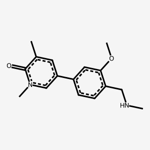 CNCc1ccc(-c2cc(C)c(=O)n(C)c2)cc1OC